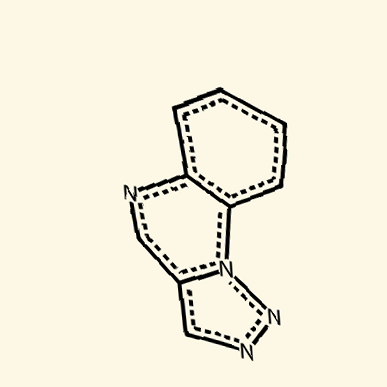 c1ccc2c(c1)ncc1cnnn12